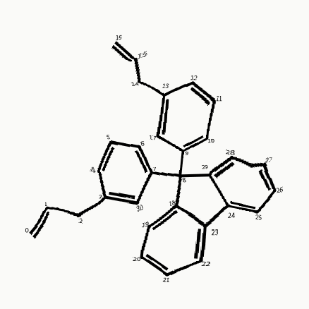 C=CCc1cccc(C2(c3cccc(CC=C)c3)c3ccccc3-c3ccccc32)c1